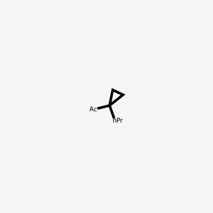 CCCC1(C(C)=O)CC1